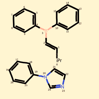 CC(C)C=CB(c1ccccc1)c1ccccc1.c1ccc(-n2ccnc2)cc1